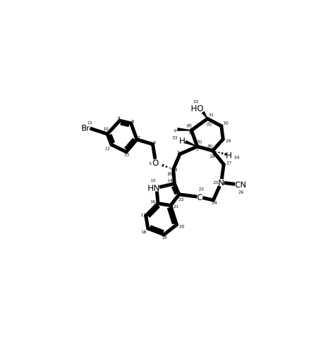 C[C@@H]1[C@H]2C[C@@H](OCc3ccc(Br)cc3)c3[nH]c4ccccc4c3CCN(C#N)C[C@@H]2CC[C@@H]1O